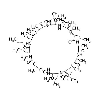 C=C1C(=O)N(C)[C@@H](CC(C)C)C(=O)N[C@H](C(C)C)C(=O)N(C)[C@H]2CC(C)N(C2=O)[C@H](C)C(=O)N[C@@H](C)C(=O)N(C)[C@H](CC(C)C)C(=O)N(C)[C@H](CC(C)C)C(=O)NCCC(C)CC(=O)N(C)[C@H](C[C@H](C)C/C=C/C)C(=O)N[C@@H](CC)C(=O)N1C